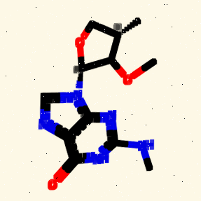 CNc1nc2c(ncn2[C@@H]2OC[C@H](C)C2OC)c(=O)[nH]1